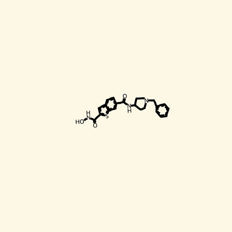 O=C(NC1CCN(Cc2ccccc2)CC1)c1ccc2cc(C(=O)NO)sc2c1